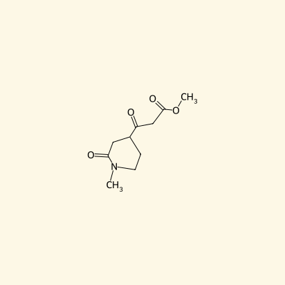 COC(=O)CC(=O)C1CCN(C)C(=O)C1